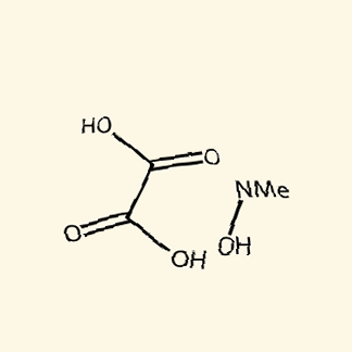 CNO.O=C(O)C(=O)O